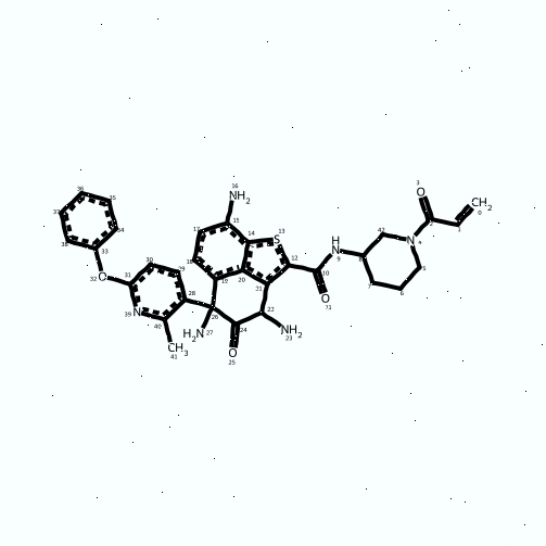 C=CC(=O)N1CCCC(NC(=O)c2sc3c(N)ccc4c3c2C(N)C(=O)C4(N)c2ccc(Oc3ccccc3)nc2C)C1